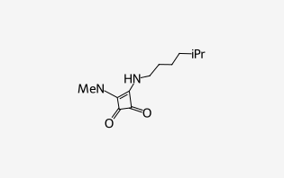 CNc1c(NCCCCC(C)C)c(=O)c1=O